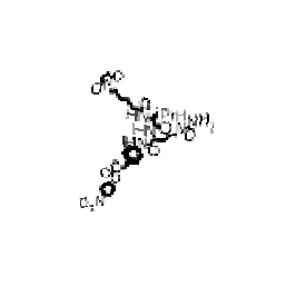 CC(C)C(NC(=O)CCCCCN1C(=O)C=CC1=O)C(=O)NC(CCCNC(N)=O)C(=O)Nc1ccc(COC(=O)Oc2ccc([N+](=O)[O-])cc2)cc1